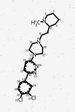 CN1CCCCC1CCN1CCN(c2ccc(-c3ccc(Cl)c(Cl)c3)nn2)CC1